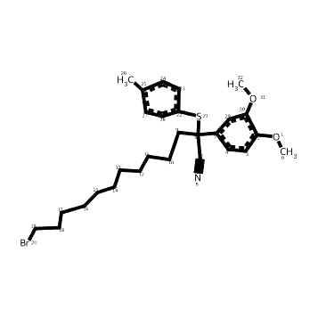 COc1ccc(C(C#N)(CCCCCCCCCCCBr)Sc2ccc(C)cc2)cc1OC